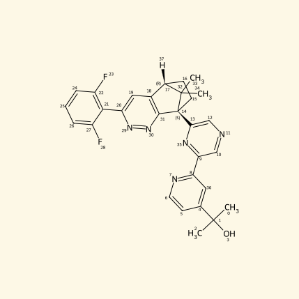 CC(C)(O)c1ccnc(-c2cncc([C@@]34CC[C@@H](c5cc(-c6c(F)cccc6F)nnc53)C4(C)C)n2)c1